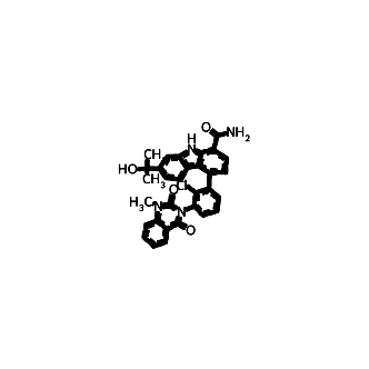 Cn1c(=O)n(-c2cccc(-c3ccc(C(N)=O)c4[nH]c5cc(C(C)(C)O)ccc5c34)c2Cl)c(=O)c2ccccc21